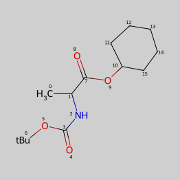 CC(NC(=O)OC(C)(C)C)C(=O)OC1CCCCC1